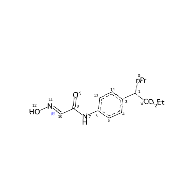 CCCC(C(=O)OCC)c1ccc(NC(=O)/C=N/O)cc1